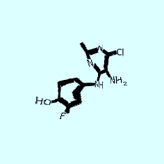 Cc1nc(Cl)c(N)c(Nc2ccc(O)c(F)c2)n1